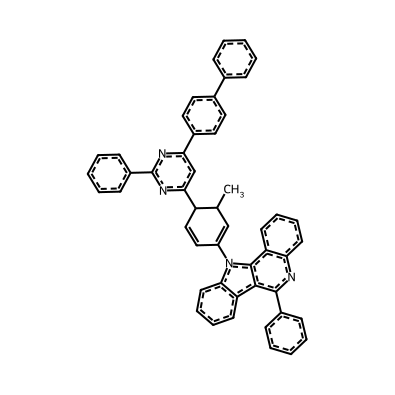 CC1C=C(n2c3ccccc3c3c(-c4ccccc4)nc4ccccc4c32)C=CC1c1cc(-c2ccc(-c3ccccc3)cc2)nc(-c2ccccc2)n1